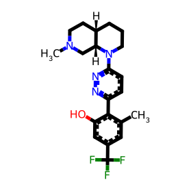 Cc1cc(C(F)(F)F)cc(O)c1-c1ccc(N2CCC[C@H]3CCN(C)C[C@H]32)nn1